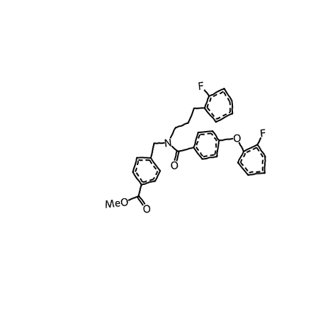 COC(=O)c1ccc(CN(CCCc2ccccc2F)C(=O)c2ccc(Oc3ccccc3F)cc2)cc1